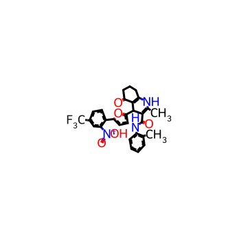 CC1=C(C(=O)Nc2ccccc2C)C(c2ccc(-c3ccc(C(F)(F)F)cc3[N+](=O)O)o2)C2=C(CCCC2=O)N1